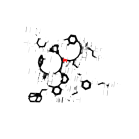 CCCNCCOc1ccc(OCCNCCC)c(NC(=O)NC(=O)C[C@@H]2CC(=O)[C@H](NC(=O)[C@H](CC)CC(C)C)[C@H](O)c3ccc(c(Cl)c3)Oc3cc4cc(c3O[C@@H]3O[C@H](CN)[C@@H](O)[C@H](O)[C@H]3O)Oc3ccc(cc3Cl)[C@@H](O)[C@@H]3NC(=O)[C@H](CC(=O)[C@@H]4NC2=O)c2ccc(O)c(c2)-c2c(O)cc(O)cc2[C@@H](C(=O)CC2C4CC5CC(C4)CC2C5)NC3=O)c1